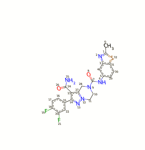 Cc1nc2cc(NC(=O)N3CCn4nc(-c5ccc(F)c(F)c5)c(C(N)=O)c4C3)ccc2s1